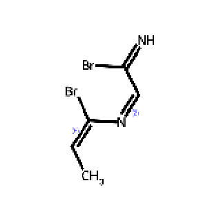 C/C=C(Br)\N=C/C(=N)Br